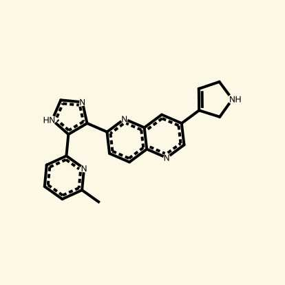 Cc1cccc(-c2[nH]cnc2-c2ccc3ncc(C4=CCNC4)cc3n2)n1